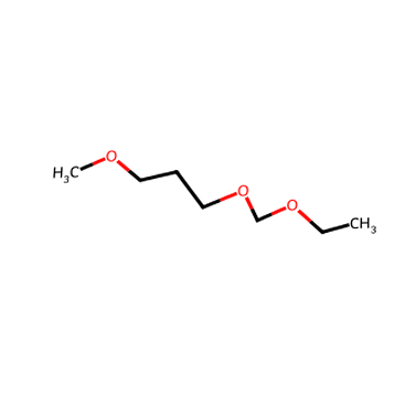 CCOCOCCCOC